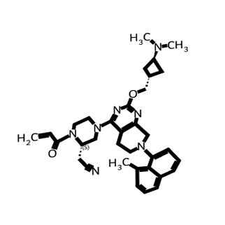 C=CC(=O)N1CCN(c2nc(OC[C@H]3C[C@H](N(C)C)C3)nc3c2CCN(c2cccc4cccc(C)c24)C3)C[C@@H]1CC#N